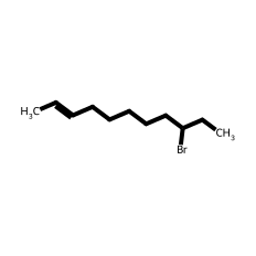 CC=CCCCCCC(Br)CC